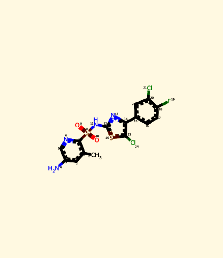 Cc1cc(N)cnc1S(=O)(=O)Nc1nc(-c2ccc(F)c(Cl)c2)c(Cl)s1